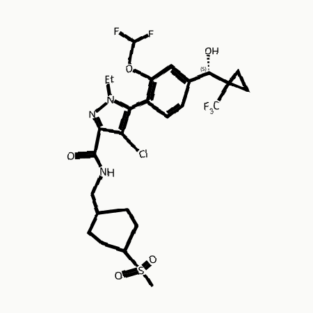 CCn1nc(C(=O)NCC2CCC(S(C)(=O)=O)CC2)c(Cl)c1-c1ccc([C@H](O)C2(C(F)(F)F)CC2)cc1OC(F)F